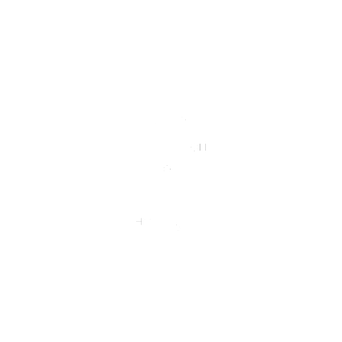 OC1SCCC1COCC1CCSC1O